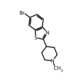 CN1CCC(c2nc3ccc(Br)cc3s2)CC1